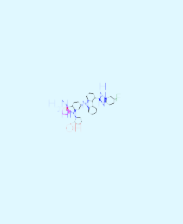 NC(=O)c1ccc(-n2c3ccccc3c3c(-c4nc5ccc(F)cc5[nH]4)cccc32)cc1N[C@H]1CCC[C@H]1CO